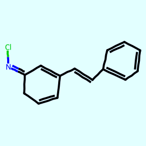 ClN=C1C=C(C=Cc2ccccc2)C=CC1